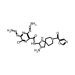 NN=Nc1nc(N=NN)c(C(=O)NC2NC3(CCN(C(=O)c4cnco4)CC3)CN2N)nc1Cl